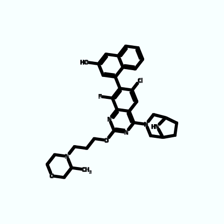 CC1COCCN1CCCOc1nc(N2CC3CCC(C2)N3)c2cc(Cl)c(-c3cc(O)cc4ccccc34)c(F)c2n1